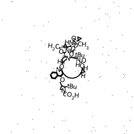 C=C[C@@H]1C[C@]1(NC(=O)[C@@H]1C[C@@H]2CN1C(=O)[C@H](C(C)(C)C)NC(=O)O[C@@H]1C[C@H]1CCCCCc1c(nc3ccccc3c1OCC1CN(C(=O)O)C1C(C)(C)C)O2)C(=O)NS(=O)(=O)C1(C)CC1